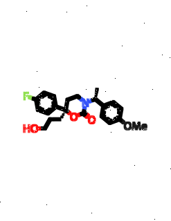 COc1ccc([C@H](C)N2CC[C@](CCCO)(c3ccc(F)cc3)OC2=O)cc1